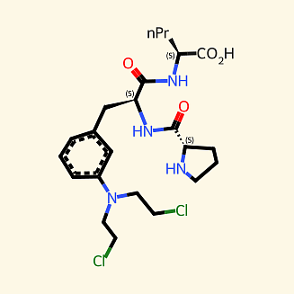 CCC[C@H](NC(=O)[C@H](Cc1cccc(N(CCCl)CCCl)c1)NC(=O)[C@@H]1CCCN1)C(=O)O